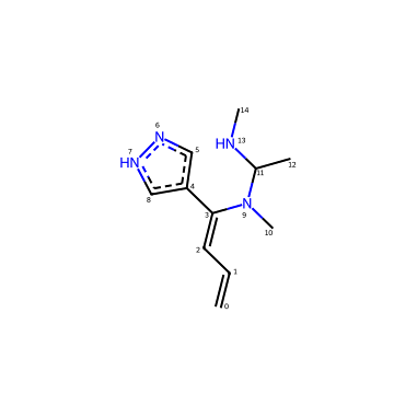 C=C/C=C(/c1cn[nH]c1)N(C)C(C)NC